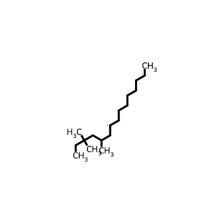 CCCCCCCC[CH]CC(C)CC(C)(C)CC